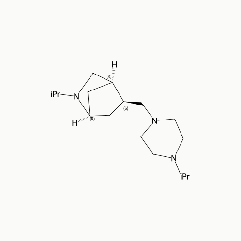 CC(C)N1CCN(C[C@H]2C[C@@H]3C[C@H]2CN3C(C)C)CC1